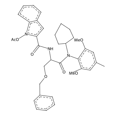 COc1cc(C)cc(OC)c1N(C(=O)C(COCc1ccccc1)NC(=O)c1cc2ccccc2n1OC(C)=O)C1CCCCC1